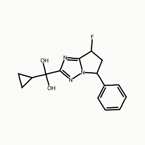 OC(O)(c1nc2n(n1)C(c1ccccc1)CC2F)C1CC1